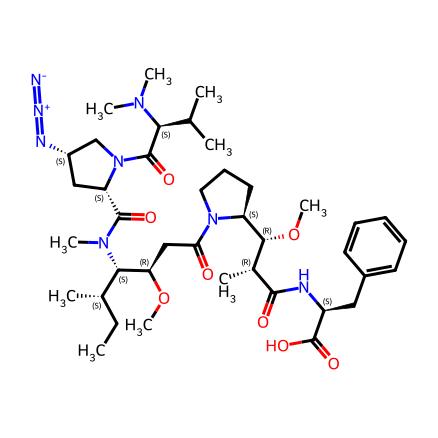 CC[C@H](C)[C@@H]([C@@H](CC(=O)N1CCC[C@H]1[C@H](OC)[C@@H](C)C(=O)N[C@@H](Cc1ccccc1)C(=O)O)OC)N(C)C(=O)[C@@H]1C[C@H](N=[N+]=[N-])CN1C(=O)[C@H](C(C)C)N(C)C